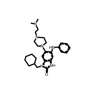 CN(C)CCN1CCN(c2cc3c(cc2Nc2ccccc2)[nH]c(=O)n3CC2CCCCC2)CC1